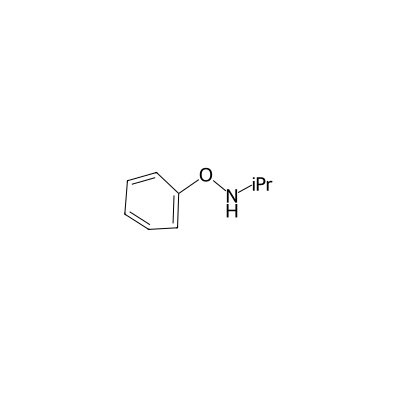 CC(C)NOc1ccccc1